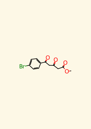 COC(=O)CC(=O)CC(=O)c1ccc(Br)cc1